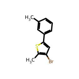 Cc1cccc(-c2cc(Br)c(C)s2)c1